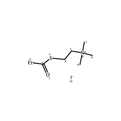 CCC(=O)SCC[N+](C)(C)C.[I-]